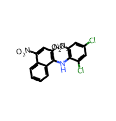 O=[N+]([O-])c1cc(Cl)cc(Cl)c1Nc1c([N+](=O)[O-])cc([N+](=O)[O-])c2ccccc12